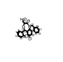 O=C1C(CO)OC(c2ccccc2Cl)c2cc(Cl)ccc2N1Cc1ccccc1